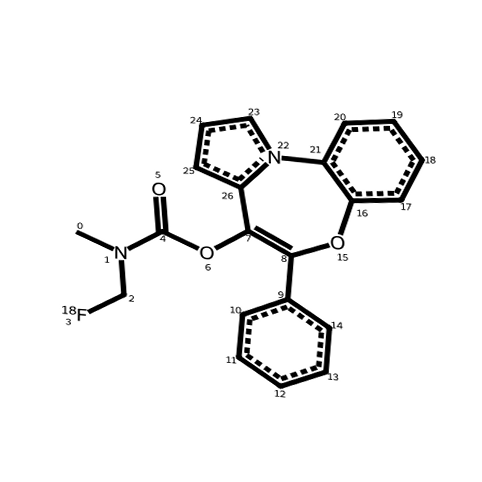 CN(C[18F])C(=O)OC1=C(c2ccccc2)Oc2ccccc2-n2cccc21